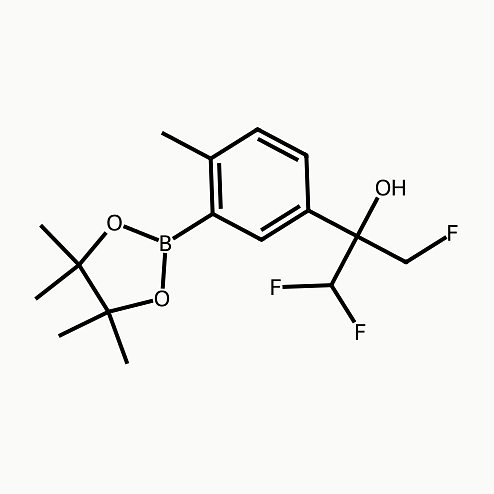 Cc1ccc(C(O)(CF)C(F)F)cc1B1OC(C)(C)C(C)(C)O1